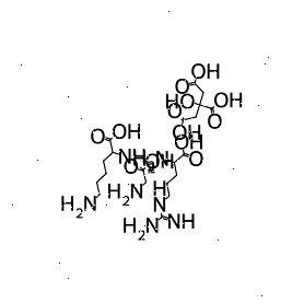 N=C(N)NCCCC(N)C(=O)O.NCC(=O)O.NCCCCC(N)C(=O)O.O=C(O)CC(O)(CC(=O)O)C(=O)O